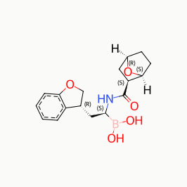 O=C(N[C@H](C[C@H]1COc2ccccc21)B(O)O)[C@H]1C[C@H]2CC[C@@H]1O2